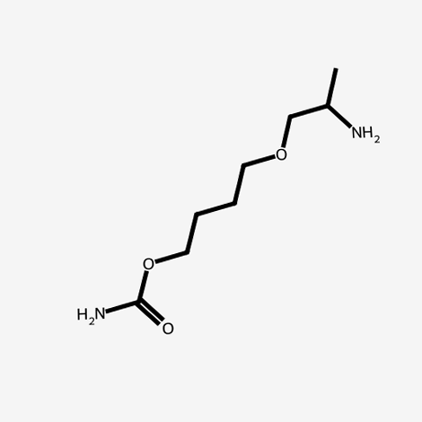 CC(N)COCCCCOC(N)=O